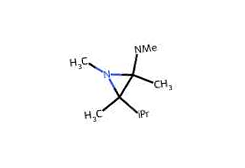 CNC1(C)N(C)C1(C)C(C)C